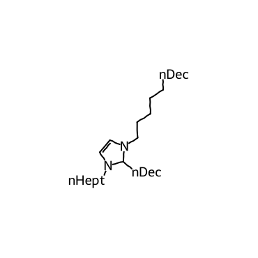 CCCCCCCCCCCCCCCN1C=CN(CCCCCCC)C1CCCCCCCCCC